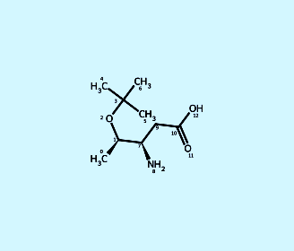 C[C@@H](OC(C)(C)C)[C@H](N)CC(=O)O